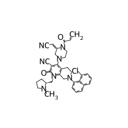 C=CC(=O)N1CCN(c2c3c(n(C[C@@H]4CCCN4C)c(=O)c2C#N)CN(c2cccc4cccc(Cl)c24)CC3)CC1=CC#N